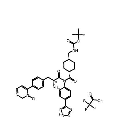 CC(C)(C)OC(=O)NC[C@H]1CC[C@H](C(=O)N(C(=O)[C@@H](N)Cc2ccc(C3=CC=NCN3Cl)cc2)c2ccc(-c3nn[nH]n3)cc2)CC1.O=C(O)C(F)(F)F